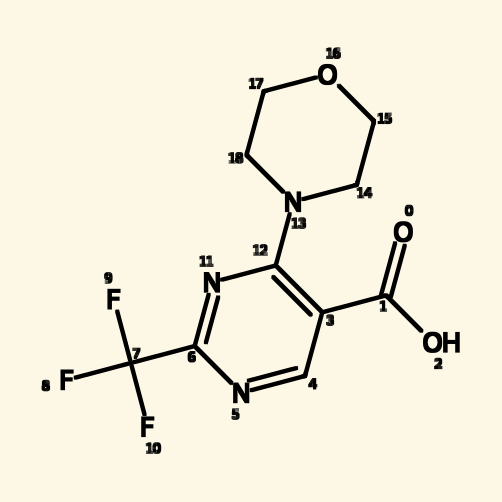 O=C(O)c1cnc(C(F)(F)F)nc1N1CCOCC1